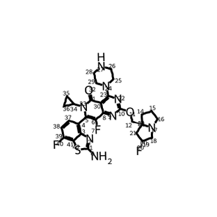 Nc1nc2c(-c3c(F)c4nc(OC[C@@]56CCCN5C[C@H](F)C6)nc(N5CCNCC5)c4c(=O)n3C3CC3)ccc(F)c2s1